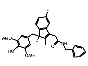 COc1cc(CC2(F)C(C)=C(CC(=O)NCc3ccccc3)c3cc(F)ccc32)cc(OC)c1O